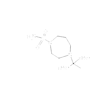 CCCCCCC(C)(CCCCCC)N1CCCN(S(N)(=O)=O)CC1